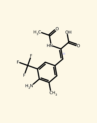 CC(=O)N/C(=C\c1cc(C)c(N)c(C(F)(F)F)c1)C(=O)O